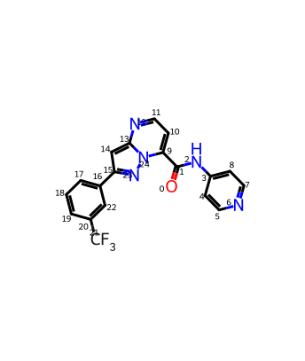 O=C(Nc1ccncc1)c1ccnc2cc(-c3cccc(C(F)(F)F)c3)nn12